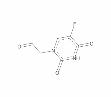 O=[C]Cn1cc(F)c(=O)[nH]c1=O